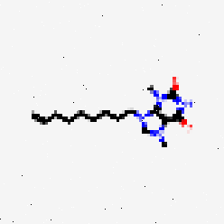 C=CCCCCCCCN1CN(C)c2c1n(C)c(=O)[nH]c2=O